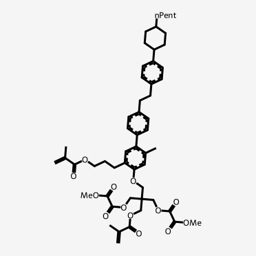 C=C(C)C(=O)OCCCc1cc(-c2ccc(CCc3ccc(C4CCC(CCCCC)CC4)cc3)cc2)c(C)cc1OCC(COC(=O)C(=C)C)(COC(=O)C(=O)OC)COC(=O)C(=O)OC